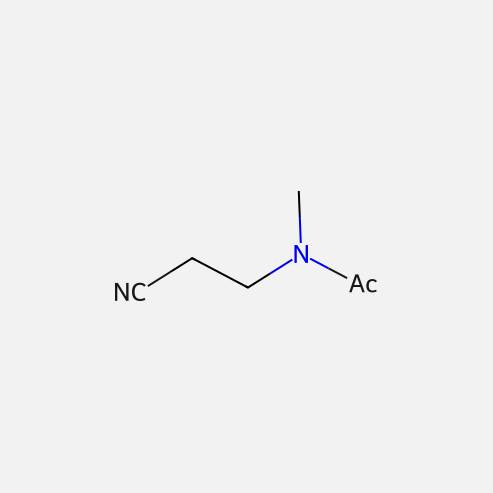 CC(=O)N(C)CCC#N